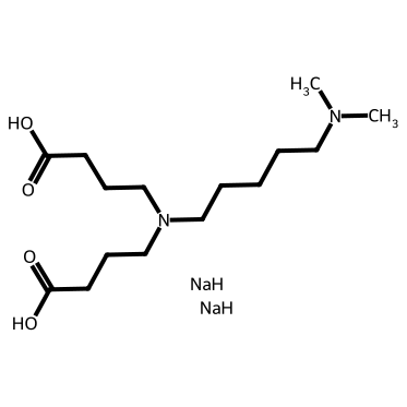 CN(C)CCCCCN(CCCC(=O)O)CCCC(=O)O.[NaH].[NaH]